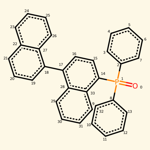 O=P(c1ccccc1)(c1ccccc1)c1ccc(-c2cccc3ccccc23)c2ccccc12